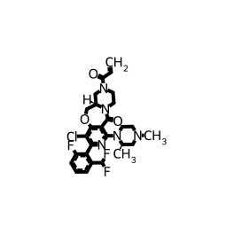 C=CC(=O)N1CCN2C(=O)c3c(N4CCN(C)C[C@@H]4C)nc(-c4c(F)cccc4C(F)F)c(Cl)c3OC[C@H]2C1